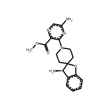 COC(=O)c1ncc(N)nc1N1CCC2(CC1)Oc1ccccc1[C@H]2N